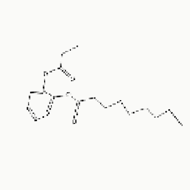 CCCCCCCCC(=O)Oc1ccccc1OC(=O)CC